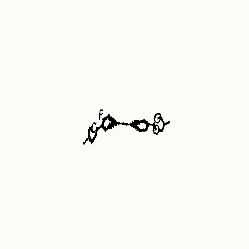 Cc1ccc(-c2ccc(-c3ccc(C4OCC(C)CO4)cc3)cc2F)cc1